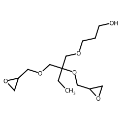 CCC(COCCCO)(COCC1CO1)OCC1CO1